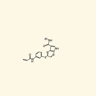 C=CC(=O)Nc1cccc(Sc2cnc3[nH]cc(C(=O)NC(C)C)c3n2)c1